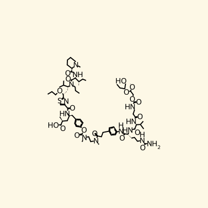 CCCO[C@H](C[C@H](C(C)C)N(CCC)C(=O)[C@@H](NC(=O)[C@H]1CCCCN1C)[C@@H](C)CC)c1nc(C(=O)N[C@@H](Cc2ccc(OC(=O)N(C)CCN(C)C(=O)CCc3ccc(NC(=O)[C@@H](CCCNC(N)=O)NC(=O)[C@H](NC(=O)CCNC(=O)OCC(OC)OC(CC)CO)C(C)C)cc3)cc2)C[C@H](C)C(=O)O)cs1